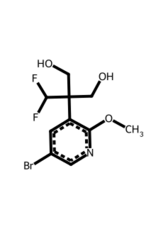 COc1ncc(Br)cc1C(CO)(CO)C(F)F